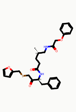 C[C@@H](CCC(=O)N[C@@H](Cc1ccccc1)C(=O)CSCc1ccco1)CNC(=O)COc1ccccc1